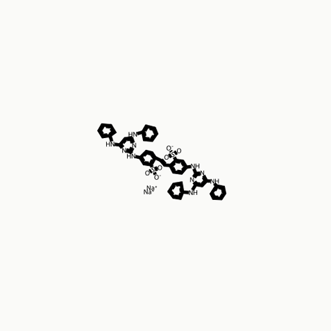 O=S(=O)([O-])c1cc(Nc2nc(Nc3ccccc3)cc(Nc3ccccc3)n2)ccc1/C=C/c1ccc(Nc2nc(Nc3ccccc3)cc(Nc3ccccc3)n2)cc1S(=O)(=O)[O-].[Na+].[Na+]